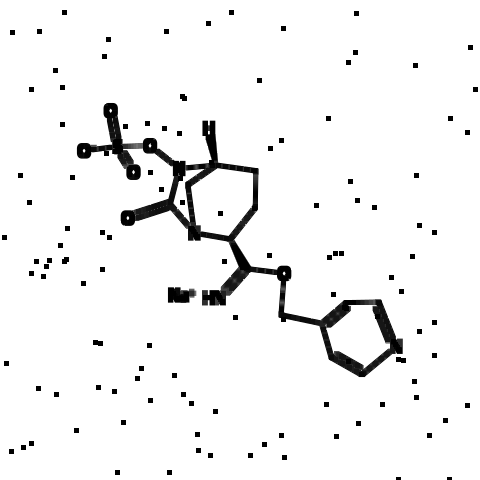 N=C(OCc1ccncc1)[C@@H]1CC[C@@H]2CN1C(=O)N2OS(=O)(=O)[O-].[Na+]